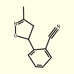 CC1=NOC(c2ccccc2C#N)C1